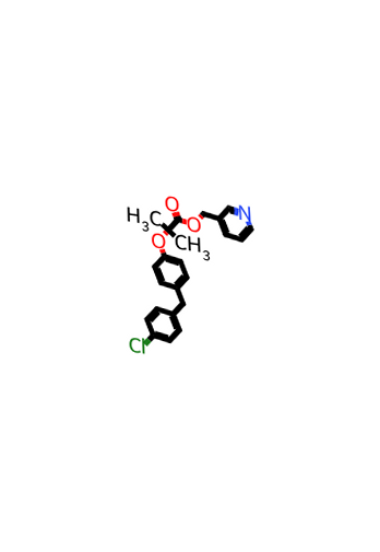 CC(C)(Oc1ccc(Cc2ccc(Cl)cc2)cc1)C(=O)OCc1cccnc1